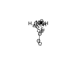 CC(N)(COP(=O)(O)O)c1ncc(-c2ccc(OCCCCOc3ccccc3)c(C(F)(F)F)c2)s1